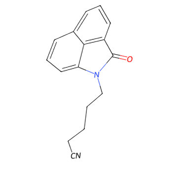 N#CCCCCN1C(=O)c2cccc3cccc1c23